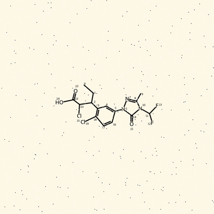 CCC(c1cc(-n2nc(C)n(C(F)F)c2=O)ccc1Cl)C(Cl)C(=O)O